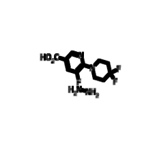 NN.O=C(O)c1cnc(N2CCC(F)(F)CC2)c(F)c1